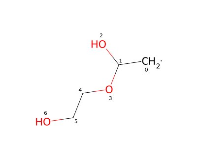 [CH2]C(O)OCCO